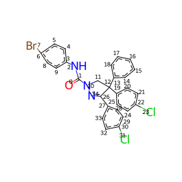 O=C(Nc1ccc(Br)cc1)N1CC(c2ccccc2)(c2ccc(Cl)cc2)C(c2ccc(Cl)cc2)=N1